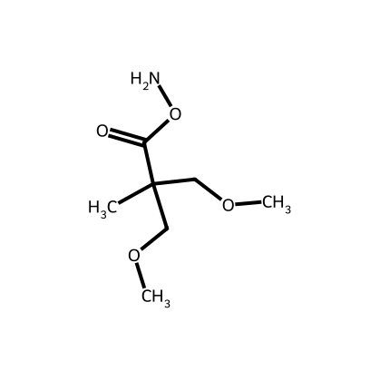 COCC(C)(COC)C(=O)ON